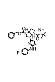 CC(C)(C)[C@H](N)C(=O)N1CC[C@@H]2[C@H]1[C@@H](c1csc(Nc3ccc(F)cc3)n1)CN2C(=O)OCc1ccccc1